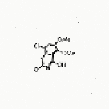 COc1cc(Cl)c2nc(Cl)nc(O)c2c1OC